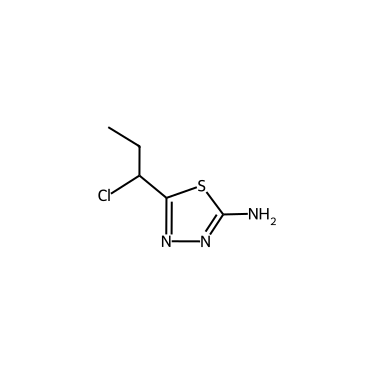 CCC(Cl)c1nnc(N)s1